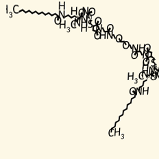 CCCCCCCCCCCCCC(=O)NCCCC[C@H](NC)C(=O)N[C@@H](CSCC1CC(=O)N(CCC(=O)NCCOCCOCCNC(=O)CCN2C(=O)CC(SC[C@H](NC(=O)[C@H](CCCCNC(=O)CCCCCCCCCCCCC)NC)C(N)=O)C2=O)C1=O)C(N)=O